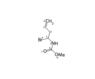 C=CCC(Br)NC(=O)OC